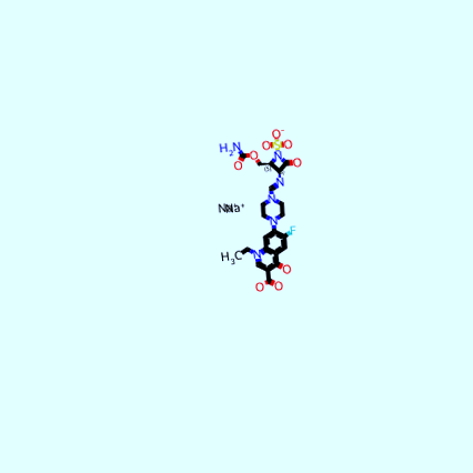 CCn1cc(C(=O)[O-])c(=O)c2cc(F)c(N3CCN(C=N[C@@H]4C(=O)N(S(=O)(=O)[O-])[C@@H]4COC(N)=O)CC3)cc21.[Na+].[Na+]